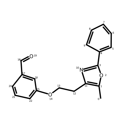 Cc1oc(-c2ccccc2)nc1CCOc1[c]c(C=O)ccc1